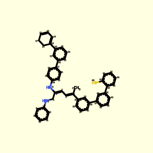 C/C(=C\C=C(/CNc1ccccc1)Nc1ccc(-c2cccc(C3=CC=CCC3)c2)cc1)c1cccc(-c2cccc(-c3ccccc3S)c2)c1